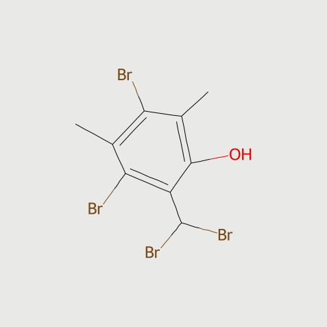 Cc1c(O)c(C(Br)Br)c(Br)c(C)c1Br